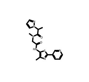 Cc1nc(-c2cccnc2)sc1NC(=O)CN(C)C(=O)C(C)n1cccn1